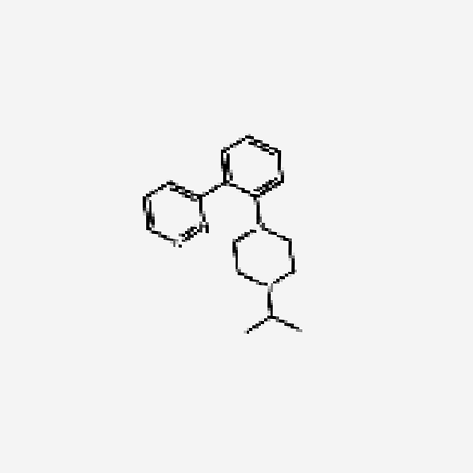 CC(C)N1CCN(c2ccccc2-c2cccnn2)CC1